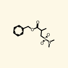 CC(CS(=O)(=O)N(C)C)C(=O)OCc1ccccc1